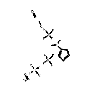 C[S+](C)C1=CC=CC1.F[B-](F)(F)F.F[B-](F)(F)F.F[B-](F)(F)F.[CH2-]C.[C]=O.[C]=O.[Fe+3]